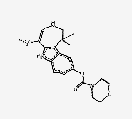 CC1(C)CNC=C(C(=O)O)c2[nH]c3ccc(OC(=O)N4CCOCC4)cc3c21